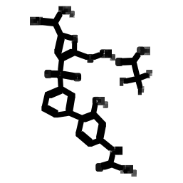 CSc1sc(C(=N)N)cc1S(=O)(=O)c1cccc(-c2ccc(NC(N)=O)cc2C)c1.O=C(O)C(F)(F)F